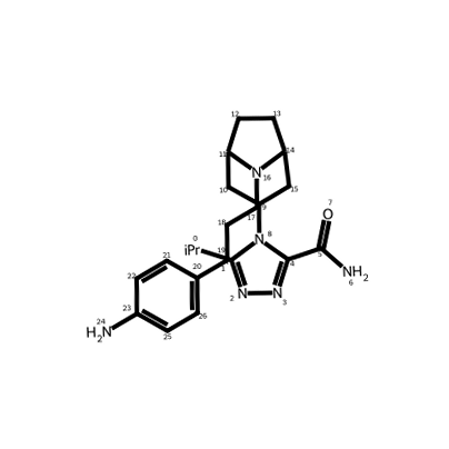 CC(C)c1nnc(C(N)=O)n1C1CC2CCC(C1)N2CC[CH]c1ccc(N)cc1